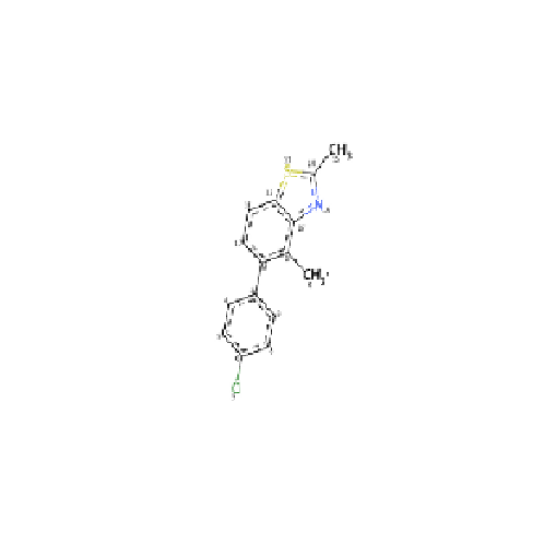 [CH2]c1c(-c2ccc(Cl)cc2)ccc2sc(C)nc12